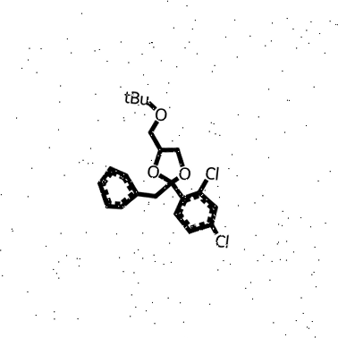 CC(C)(C)OCC1COC(Cc2ccccc2)(c2ccc(Cl)cc2Cl)O1